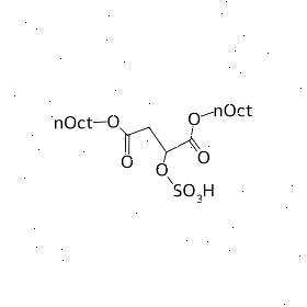 CCCCCCCCOC(=O)CC(OS(=O)(=O)O)C(=O)OCCCCCCCC